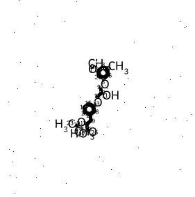 COc1cc(C)cc(OCC(O)COc2cccc(CC(OC(C)C)C(=O)O)c2)c1